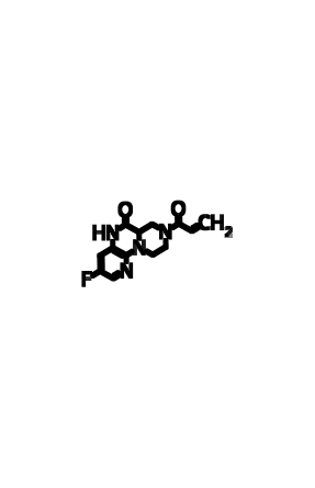 C=CC(=O)N1CCN2c3ncc(F)cc3NC(=O)C2C1